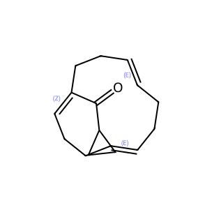 O=C(/C1=C\CC/C=C/CC/C=C/CC1)C1CC1